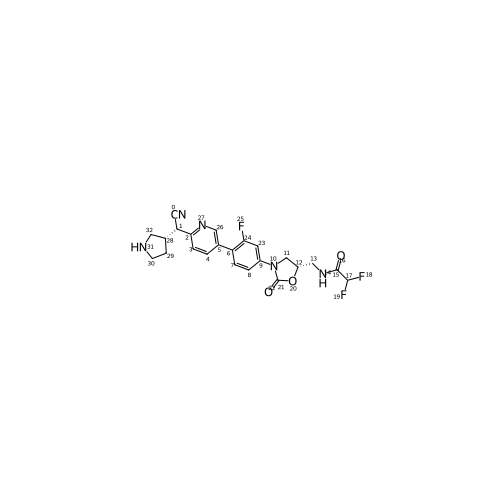 N#CC(c1ccc(-c2ccc(N3C[C@H](CNC(=O)C(F)F)OC3=O)cc2F)cn1)[C@@H]1CCNC1